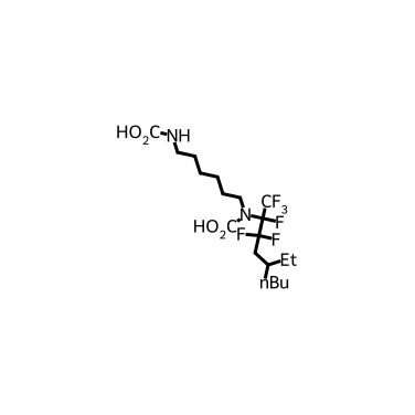 CCCCC(CC)CC(F)(F)C(F)(N(CCCCCCNC(=O)O)C(=O)O)C(F)(F)F